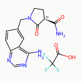 NC(=O)[C@@H]1CCN(Cc2ccc3ncnc(N)c3c2)C1=O.O=C(O)C(F)(F)F